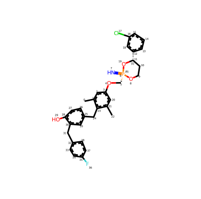 Cc1cc(OC[P@@]2(=N)OCC[C@@H](c3cccc(Cl)c3)O2)cc(C)c1Cc1ccc(O)c(Cc2ccc(F)cc2)c1